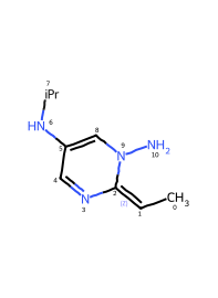 C/C=C1/N=CC(NC(C)C)=CN1N